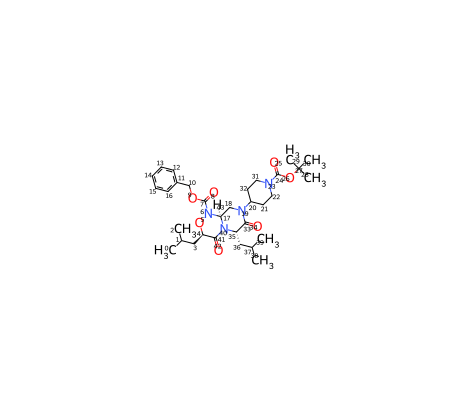 CC(C)C[C@H]1ON(C(=O)OCc2ccccc2)[C@H]2CN(C3CCN(C(=O)OC(C)(C)C)CC3)C(=O)[C@H](CC(C)C)N2C1=O